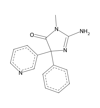 CN1C(=O)C(c2ccccc2)(c2cccnc2)N=C1N